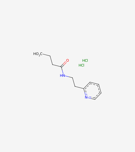 Cl.Cl.O=C(O)CCC(=O)NCCc1ccccn1